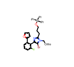 COCn1c(CCCO[Si](C(C)C)(C(C)C)C(C)C)nc(-c2c(F)cccc2-c2ccco2)c1Br